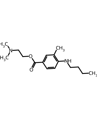 CCCCNc1ccc(C(=O)OCCN(C)C)cc1C